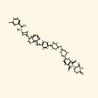 Cc1cccc(C(=O)NC2CC(n3cnc4c(Nc5ccc(N6CCN(CC7CCN(c8ccc9c(c8)C(=O)N([C@H]8CCC(=O)NC8=O)C9=O)CC7)CC6)cc5)ncnc43)C2)n1